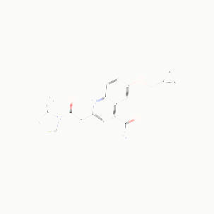 N#CC1CSCN1C(=O)Cc1cc(C(N)=O)c2cc(OCC3CC3)ccc2n1